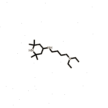 CCN(CC)CCCCNC1CC(C)(C)NC(C)(C)C1